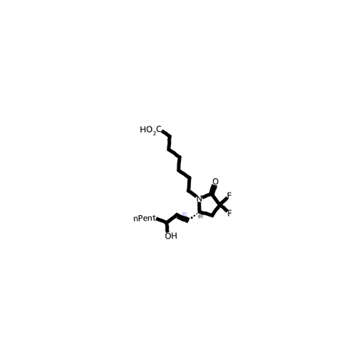 CCCCCC(O)/C=C/[C@H]1CC(F)(F)C(=O)N1CCCCCCC(=O)O